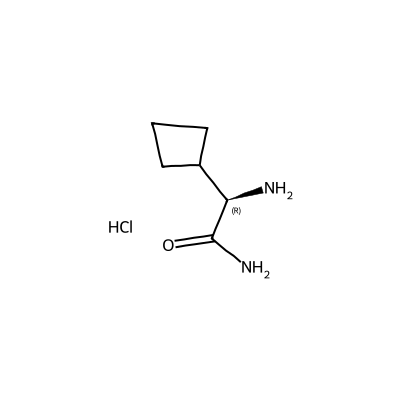 Cl.NC(=O)[C@H](N)C1CCC1